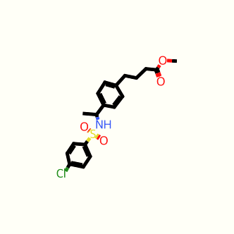 COC(=O)CCCc1ccc(C(C)NS(=O)(=O)c2ccc(Cl)cc2)cc1